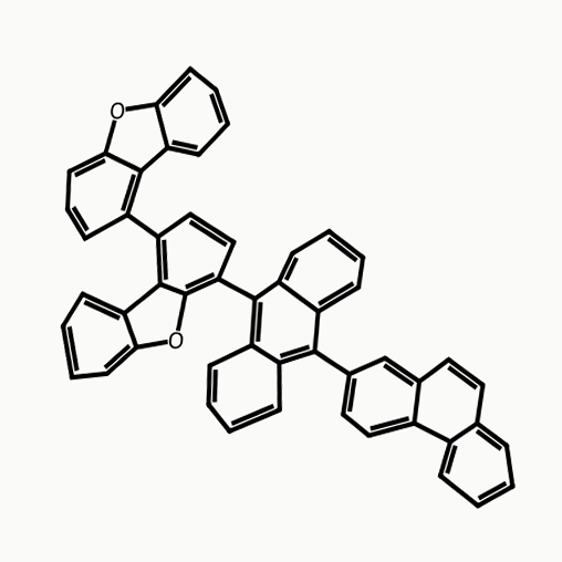 c1ccc2c(c1)ccc1cc(-c3c4ccccc4c(-c4ccc(-c5cccc6oc7ccccc7c56)c5c4oc4ccccc45)c4ccccc34)ccc12